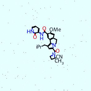 COc1cc2c(cc1C(=O)Nc1ccc[nH]c1=O)-c1c(CC(C)C)cc(C(=O)N3CC[C@]3(C)C#N)n1CC2